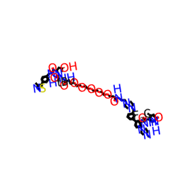 Cc1ncsc1-c1ccc(CNC(=O)[C@@H]2C[C@@H](O)CN2C(=O)[C@@H](NC(=O)CCOCCOCCOCCOCCOCCC(=O)NCCN2CCN(Cc3cccc(-c4ccc(N5CCN(C)CC5)c(NC(=O)c5c[nH]c(=O)cc5C(F)(F)F)c4)c3)CC2)C(C)(C)C)cc1